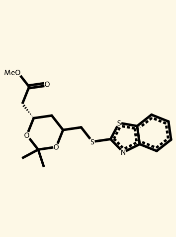 COC(=O)C[C@@H]1CC(CSc2nc3ccccc3s2)OC(C)(C)O1